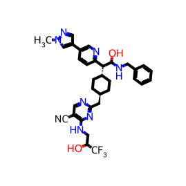 Cn1cc(-c2ccc(C(C(O)NCc3ccccc3)[C@H]3CC[C@H](Cc4ncc(C#N)c(NCC(O)C(F)(F)F)n4)CC3)nc2)cn1